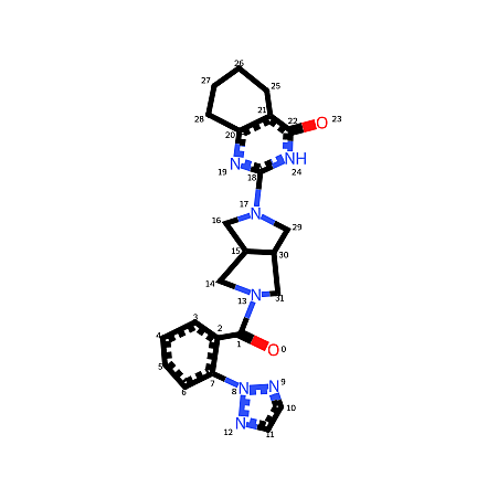 O=C(c1ccccc1-n1nccn1)N1CC2CN(c3nc4c(c(=O)[nH]3)CCCC4)CC2C1